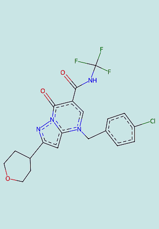 O=C(NC(F)(F)F)c1cn(Cc2ccc(Cl)cc2)c2cc(C3CCOCC3)nn2c1=O